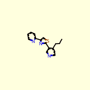 CCCc1ccncc1-c1nc(-c2ccccn2)cs1